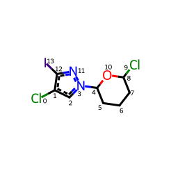 Clc1cn(C2CCCC(Cl)O2)nc1I